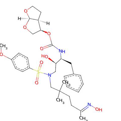 COc1ccc(S(=O)(=O)N(C[C@@H](O)[C@H](Cc2ccccc2)NC(=O)O[C@H]2CO[C@H]3OCC[C@H]32)CC(C)(C)CCC(C)=NO)cc1